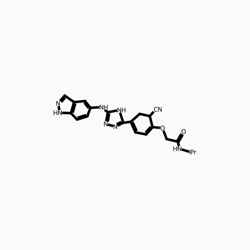 CC(C)NC(=O)COC1=CC=C(c2nnc(Nc3ccc4[nH]ncc4c3)[nH]2)CC1C#N